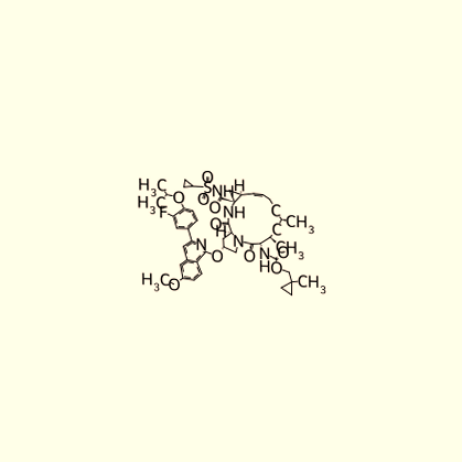 COc1ccc2c(O[C@@H]3C[C@H]4C(=O)N[C@]5(C(=O)NS(=O)(=O)C6CC6)C[C@H]5/C=C\CC[C@@H](C)C[C@@H](C)[C@H](NC(=O)OCC5(C)CC5)C(=O)N4C3)nc(-c3ccc(OC(C)C)c(F)c3)cc2c1